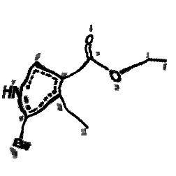 CCOC(=O)c1c[nH]c(Br)c1C